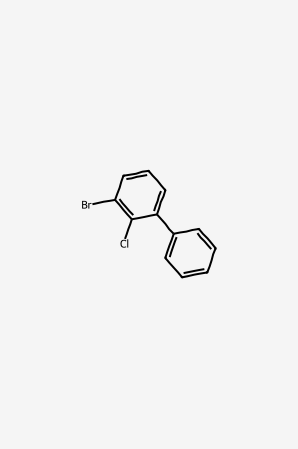 Clc1c(Br)cccc1-c1ccccc1